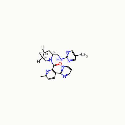 Cc1ccc(-c2ncccn2)c(C(=O)N2C[C@@H]3C[C@@H]3C[C@H]2CNc2ncc(C(F)(F)F)cn2)n1